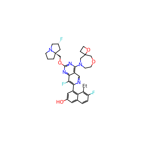 CCc1c(F)ccc2cc(O)cc(-c3ncc4c(N5CCOCC6(CCO6)C5)nc(OC[C@@]56CCCN5C[C@H](F)C6)nc4c3F)c12